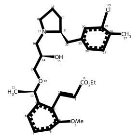 CCOC(=O)/C=C/c1c(OC)cccc1[C@@H](C)OC[C@H](O)CN1CCC[C@H]1Cc1ccc(C)c(Cl)c1